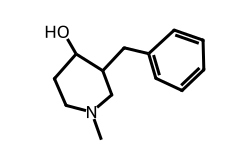 CN1CCC(O)C(Cc2ccccc2)C1